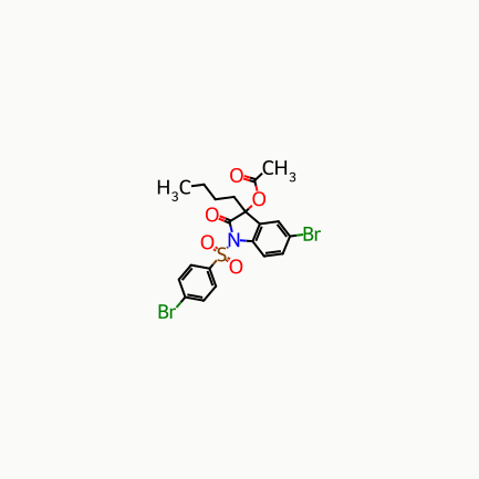 CCCCC1(OC(C)=O)C(=O)N(S(=O)(=O)c2ccc(Br)cc2)c2ccc(Br)cc21